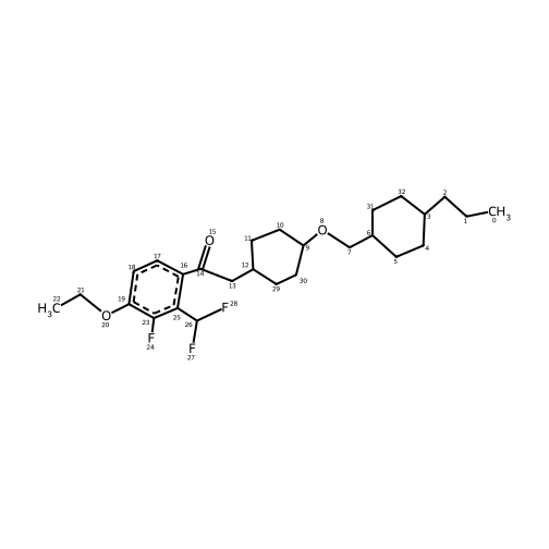 CCCC1CCC(COC2CCC(CC(=O)c3ccc(OCC)c(F)c3C(F)F)CC2)CC1